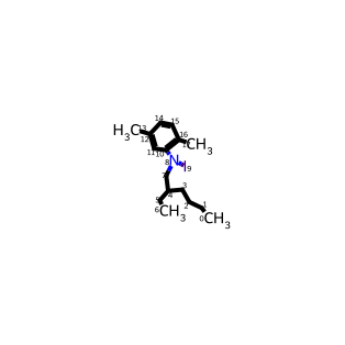 CCCCC(CC)CN(I)c1cc(C)ccc1C